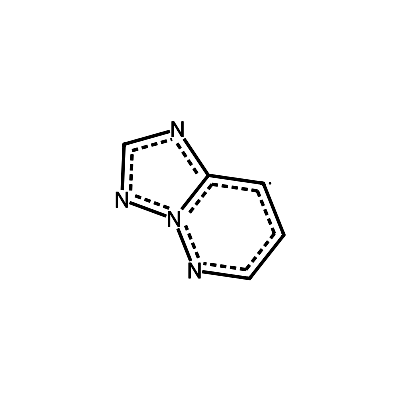 [c]1ccnn2ncnc12